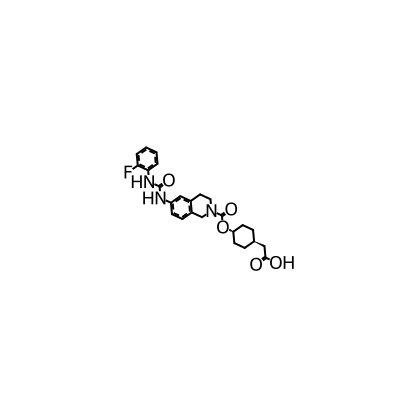 O=C(O)C[C@H]1CC[C@@H](OC(=O)N2CCc3cc(NC(=O)Nc4ccccc4F)ccc3C2)CC1